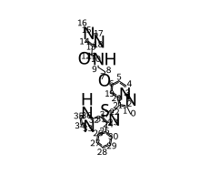 Cc1nn2ccc(OCCNC(=O)c3cn(C)cn3)cc2c1-c1nc(-c2ccccc2)c(-c2ncc[nH]2)s1